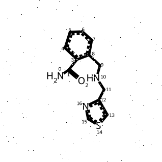 NC(=O)c1ccccc1CNCc1cscn1